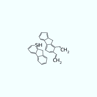 C=Cc1ccc2c(c1C=C)Cc1ccccc1-2.c1ccc2c(c1)Cc1[siH]cccc1-2